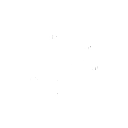 C=C(C)C1CC(=O)C(C)=CC1=CO